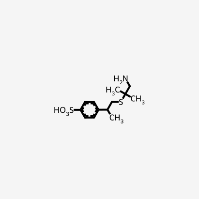 CC(CSC(C)(C)CN)c1ccc(S(=O)(=O)O)cc1